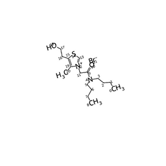 CCCCN(CCCC)C(=O)C[n+]1csc(CCO)c1C.[Br-]